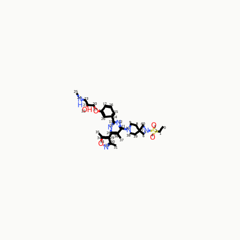 CCS(=O)(=O)N1CC2(CCN(c3nc(-c4cccc(OCC(O)CNC)c4)nc(-c4c(C)noc4C)c3C)CC2)C1